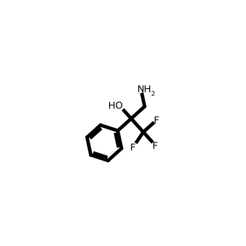 NCC(O)(c1ccccc1)C(F)(F)F